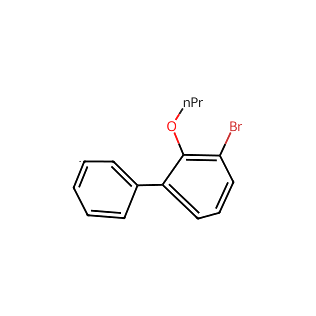 CCCOc1c(Br)cccc1-c1c[c]ccc1